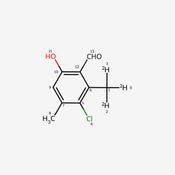 [2H]C([2H])([2H])c1c(Cl)c(C)cc(O)c1C=O